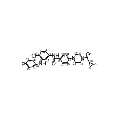 O=C(Nc1ccc(Cl)c(Nc2ccc(F)cc2)c1)c1ccc(N2CCN(C(=O)C3CC3)CC2)nc1